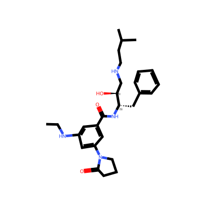 CCNc1cc(C(=O)N[C@@H](Cc2ccccc2)[C@@H](O)CNCCC(C)C)cc(N2CCCC2=O)c1